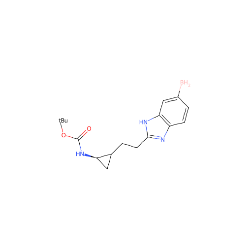 Bc1ccc2nc(CCC3C[C@H]3NC(=O)OC(C)(C)C)[nH]c2c1